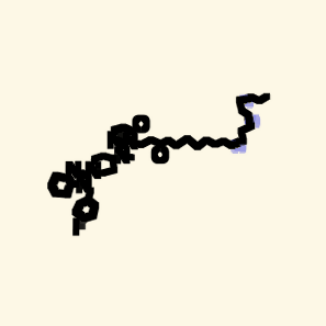 CC/C=C\C/C=C\C/C=C\CCCCCCCC(=O)CCn1c(N(C)C2CCN(c3nc4ccccc4n3Cc3ccc(F)cc3)CC2)nccc1=O